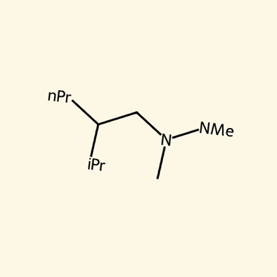 CCCC(CN(C)NC)C(C)C